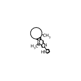 COC1=CC(c2ccc[nH]2)=NC1=Cc1[nH]c2cc1C(C)CCCCCCCCCC2